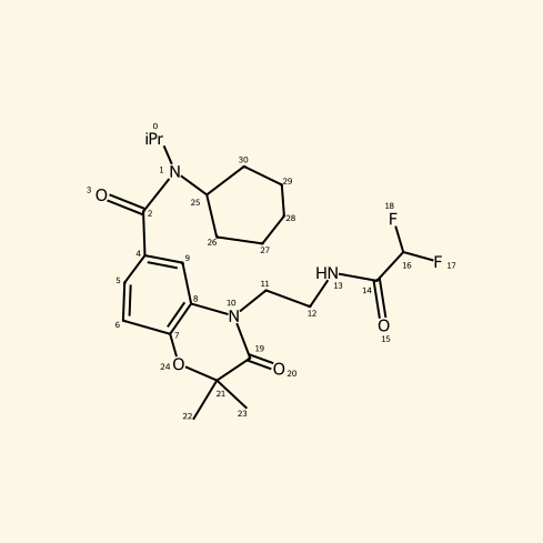 CC(C)N(C(=O)c1ccc2c(c1)N(CCNC(=O)C(F)F)C(=O)C(C)(C)O2)C1CCCCC1